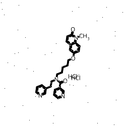 Cl.Cl.Cn1c(=O)ccc2cc(OCCCCCN(CCc3cccnc3)C(=O)c3cccnc3)ccc21